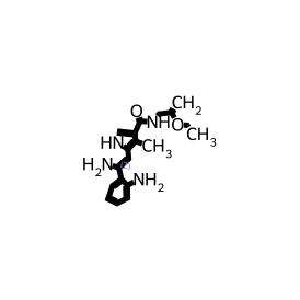 C=C(CNC(=O)c1c[nH]c(/C=C(\N)c2ccccc2N)c1C)OCC